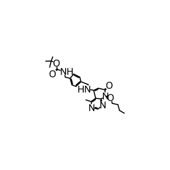 CCCCOn1c(=O)cc(NCc2ccc(CNC(=O)OC(C)(C)C)cc2)c2c(C)ncnc21